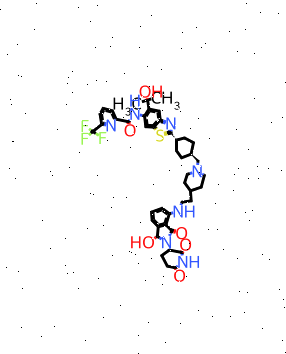 CC(C)(O)c1cc2nc([C@H]3CC[C@H](CN4CCC(CCNc5cccc6c5C(=O)N(C5CCC(=O)NC5=O)C6O)CC4)CC3)sc2cc1NC(=O)c1cccc(C(F)(F)F)n1